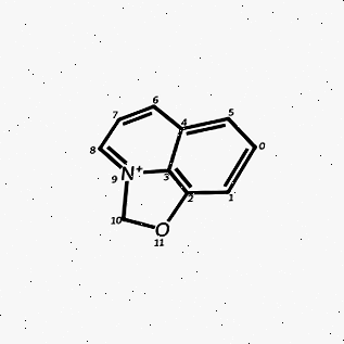 c1cc2c3c(c1)ccc[n+]3CO2